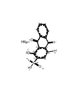 O=C1c2ccccc2C(=O)c2c(O)c(S(=O)(=O)O)cc(O)c21.[NaH]